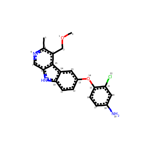 COCc1c(C)ncc2[nH]c3ccc(Oc4ccc(N)cc4Cl)cc3c12